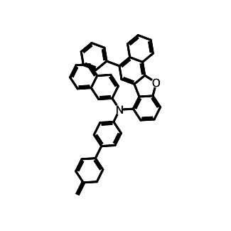 C=C1C=CC(c2ccc(N(c3ccc4ccccc4c3)c3cccc4oc5c6ccccc6c(-c6ccccc6)cc5c34)cc2)=CC1